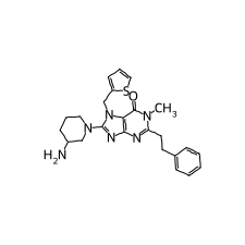 Cn1c(CCc2ccccc2)nc2nc(N3CCCC(N)C3)n(Cc3cccs3)c2c1=O